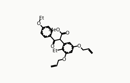 C=CCOc1cc(OCC=C)c(CC)c(C(C(=O)OC)C(=O)c2ccc(OCC)cc2)c1